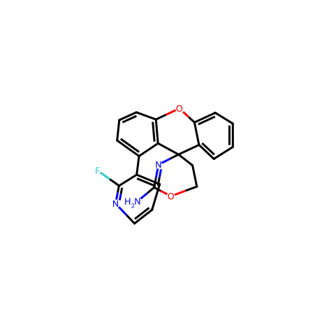 NC1=NC2(CCO1)c1ccccc1Oc1cccc(-c3cccnc3F)c12